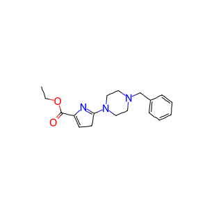 CCOC(=O)C1=CCC(N2CCN(Cc3ccccc3)CC2)=N1